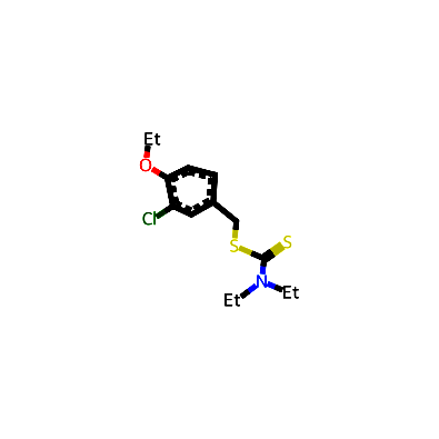 CCOc1ccc(CSC(=S)N(CC)CC)cc1Cl